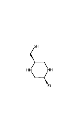 CC[C@H]1CN[C@@H](CS)CN1